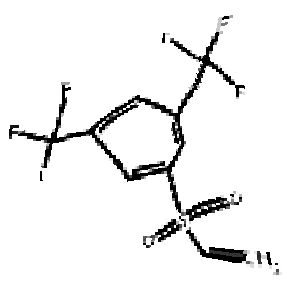 C=CS(=O)(=O)c1cc(C(F)(F)F)cc(C(F)(F)F)c1